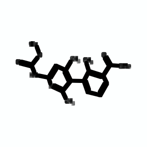 COC(=O)c1cccc(-c2c(C)cc(NC(=O)OC(C)(C)C)nc2C)c1C